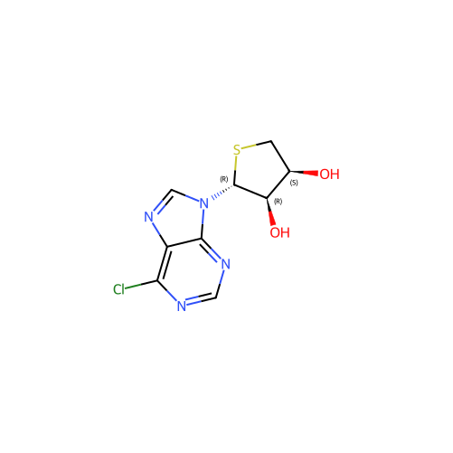 O[C@@H]1[C@H](O)CS[C@H]1n1cnc2c(Cl)ncnc21